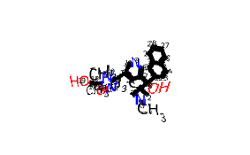 CN1CC(C)([C@@](O)(c2cncc(-c3noc(C(C)(C)O)n3)c2)c2ccc3ccccc3c2)C1